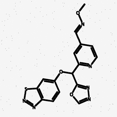 CO/N=C/c1ccnc(C(Oc2ccc3nnsc3c2)c2nnco2)c1